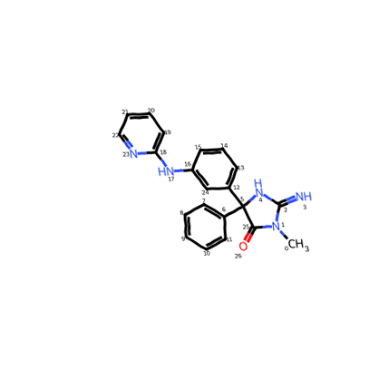 CN1C(=N)NC(c2ccccc2)(c2cccc(Nc3ccccn3)c2)C1=O